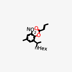 CC=CC(=O)Oc1c(C(C)CCCCCC)cc(C)cc1[N+](=O)[O-]